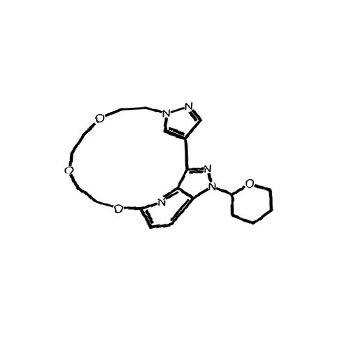 c1nn2cc1-c1nn(C3CCCCO3)c3ccc(nc13)OCCOCCOCC2